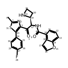 Cc1nc(C(=O)C(NC(=O)c2cccc3occc23)[C@@H]2CCN2)c(-c2ccc(F)cc2)s1